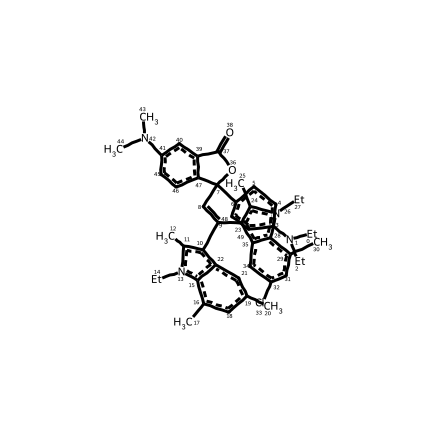 CCN(CC)c1ccc(C2(/C=C(/c3c(C)n(CC)c4c(C)cc(C)cc34)c3c(C)n(CC)c4c(C)cc(Cl)cc34)OC(=O)c3cc(N(C)C)ccc32)cc1